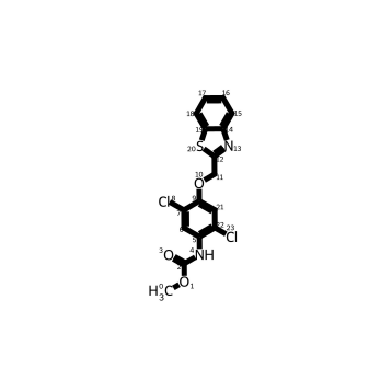 COC(=O)Nc1cc(Cl)c(OCc2nc3ccccc3s2)cc1Cl